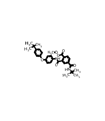 COOC(=O)c1ccc(C(=O)NC(C)(C)C)cc1C(=O)Nc1ccc(Oc2ccc(C(C)(C)C)cc2)cc1